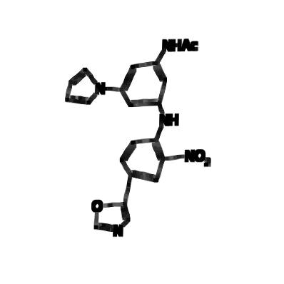 CC(=O)Nc1cc(Nc2ccc(-c3cnco3)cc2[N+](=O)[O-])cc(-n2cccc2)c1